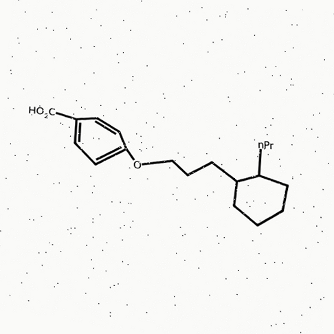 CCCC1CCCCC1CCCOc1ccc(C(=O)O)cc1